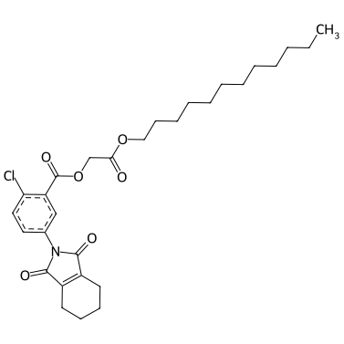 CCCCCCCCCCCCOC(=O)COC(=O)c1cc(N2C(=O)C3=C(CCCC3)C2=O)ccc1Cl